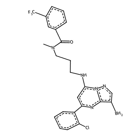 Bc1cnn2c(NCCCN(C)C(=O)c3cccc(C(F)(F)F)c3)cc(-c3ccccc3Cl)nc12